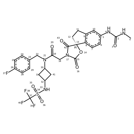 CNC(=O)Nc1ccc2c(c1)CC[C@@]21OC(=O)N(CC(=O)N(Cc2ccc(F)cc2)C2CC(NS(=O)(=O)C(F)(F)F)C2)C1=O